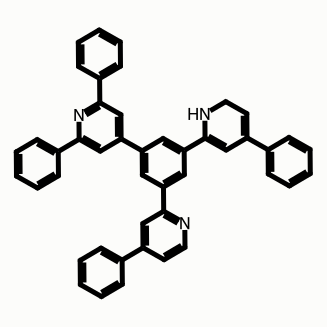 C1=C(c2ccccc2)C=C(c2cc(-c3cc(-c4ccccc4)nc(-c4ccccc4)c3)cc(-c3cc(-c4ccccc4)ccn3)c2)NC1